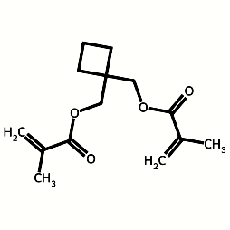 C=C(C)C(=O)OCC1(COC(=O)C(=C)C)CCC1